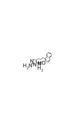 Nc1ncc(CCCc2c(O)ccc3ccccc23)c(N)n1